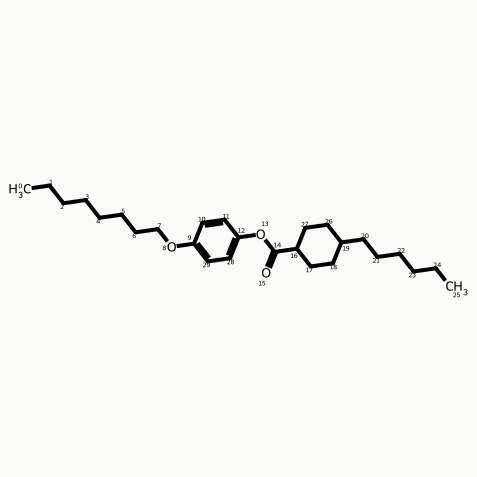 CCCCCCCCOc1ccc(OC(=O)C2CCC(CCCCCC)CC2)cc1